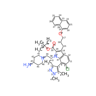 Cc1nn(C)c(C)c1-c1c(Cl)ccc2c(CCCOc3cccc4ccccc34)c(C(=O)OC(C)(C)C)n(CCN3CCC(N)CC3)c12